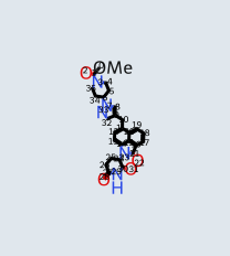 COC(=O)N1CCC(n2cc(Cc3ccc4c5c(cccc35)C(=O)N4C3CCC(=O)NC3=O)cn2)CC1